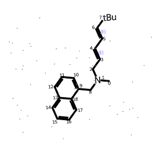 CN(C/C=C/C=C/C(C)(C)C)Cc1cccc2ccccc12